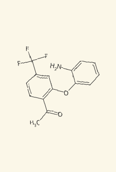 CC(=O)c1ccc(C(F)(F)F)cc1Oc1ccccc1N